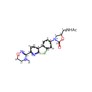 CC(=O)NCC1CN(c2ccc(-c3ccc(C4=NOCCN4C)nc3)c(F)c2)C(=O)O1